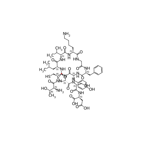 CC(C)C[C@H](NC(=O)[C@H](CS)NC(=O)[C@@H](N)[C@@H](C)O)C(=O)N[C@H](C(=O)N[C@@H](CCCCN)C(=O)NCC(=O)N[C@@H](Cc1ccccc1)C(=O)N[C@@H](Cc1ccc(O)cc1)C(=O)N1CCC[C@H]1C(=O)N[C@@H](CO)C(=O)N[C@@H](CC(=O)O)C(=O)O)C(C)C